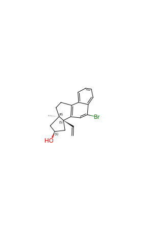 C=C[C@@]12C[C@@H](O)C[C@@]1(C)CCc1c2cc(Br)c2ccccc12